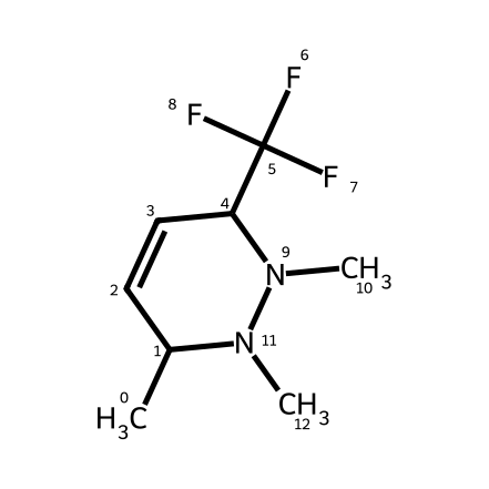 CC1C=CC(C(F)(F)F)N(C)N1C